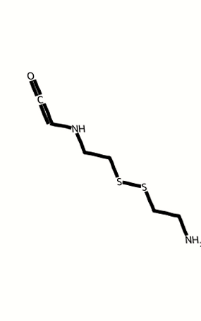 NCCSSCCNC=C=O